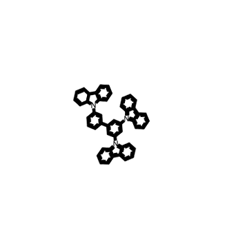 C1=CC2c3ccccc3N(c3cccc(-c4cc(-n5c6ccccc6c6ccccc65)cc(-n5c6ccccc6c6ccccc65)c4)c3)C2C=C1